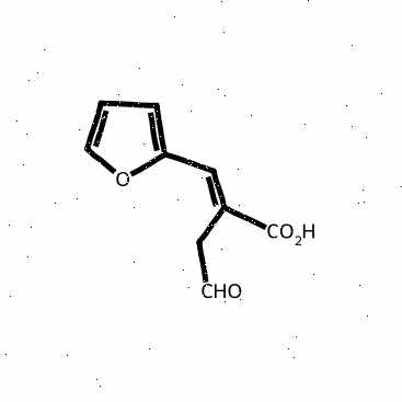 O=CCC(=Cc1ccco1)C(=O)O